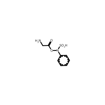 NCC(=O)ON(c1ccccc1)S(=O)(=O)O